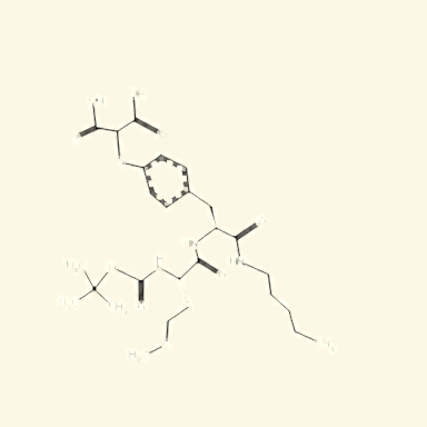 CCCCCNC(=O)[C@H](Cc1ccc(OC(C(=O)O)C(=O)O)cc1)NC(=O)[C@H](CCSC)NC(=O)OC(C)(C)C